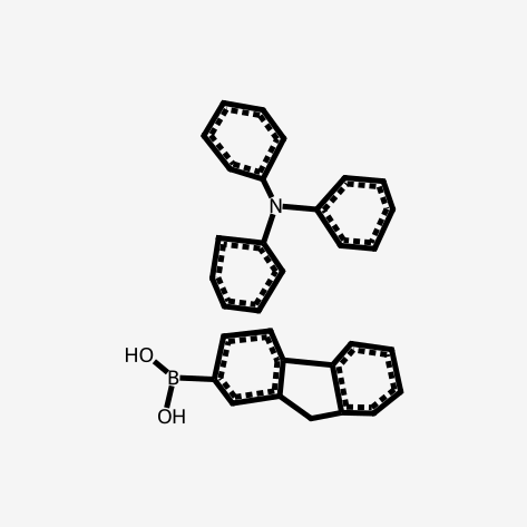 OB(O)c1ccc2c(c1)Cc1ccccc1-2.c1ccc(N(c2ccccc2)c2ccccc2)cc1